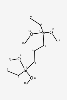 CC[Si](CCC[Si](CC)(OC)OC)(OC)OC